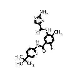 Cc1cc(F)c(C(=O)Nc2ccc(C(C)(O)C(F)(F)F)cn2)cc1NC(=O)c1cnc(N)s1